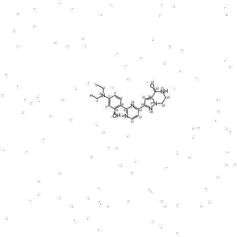 CCN(CC)c1ccc(-c2nccc(-c3cc4n(n3)CCNC4=O)n2)c(O)c1